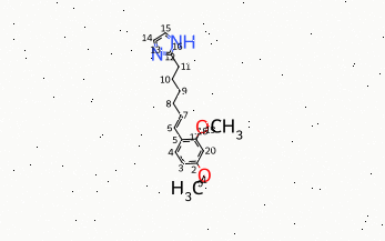 COc1ccc(C=CCCCCc2ncc[nH]2)c(OC)c1